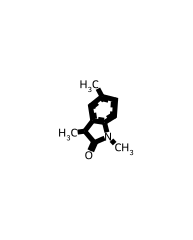 Cc1ccc2c(c1)C(C)C(=O)N2C